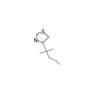 CCCC(C)(C)c1cscn1